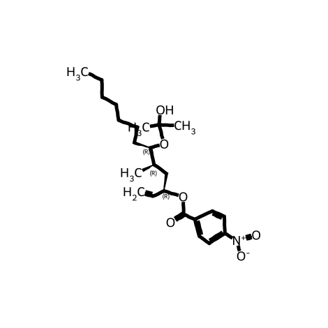 C=C[C@@H](C[C@@H](C)[C@@H](CCCCCCC)OC(C)(C)O)OC(=O)c1ccc([N+](=O)[O-])cc1